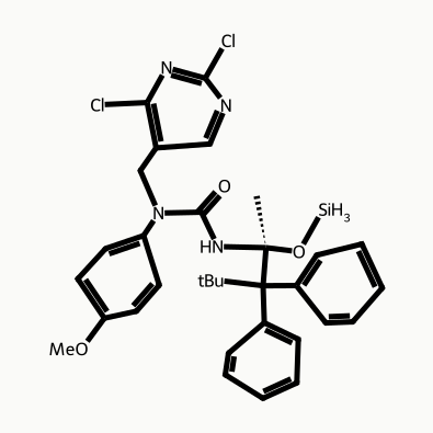 COc1ccc(N(Cc2cnc(Cl)nc2Cl)C(=O)N[C@@](C)(O[SiH3])C(c2ccccc2)(c2ccccc2)C(C)(C)C)cc1